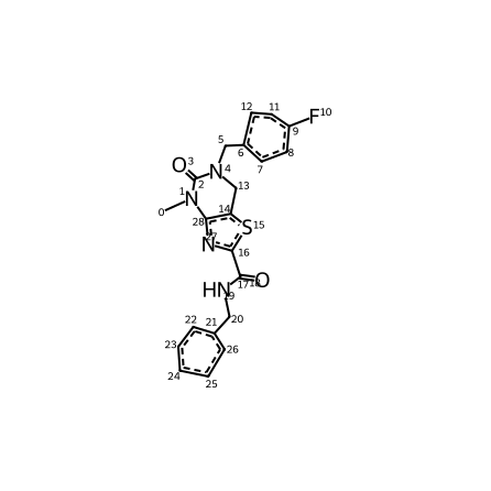 CN1C(=O)N(Cc2ccc(F)cc2)Cc2sc(C(=O)NCc3ccccc3)nc21